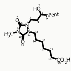 CCCCCC(O)CCn1c(=O)n(C)c(=O)n1CCCCCCC(=O)O